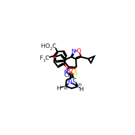 O=C(O)c1ccc(-c2csc(N3[C@H]4CC(OCc5c(-c6ccccc6OC(F)(F)F)noc5C5CC5)C[C@H]3C4)n2)cc1C(F)(F)F